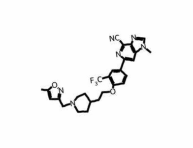 Cc1cc(CN2CCC(CCOc3ccc(-c4cc5c(ncn5C)c(C#N)n4)cc3C(F)(F)F)CC2)no1